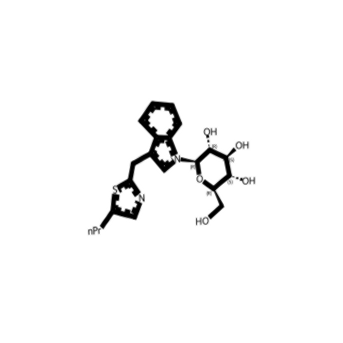 CCCc1cnc(Cc2cn([C@@H]3O[C@H](CO)[C@@H](O)[C@H](O)[C@H]3O)c3ccccc23)s1